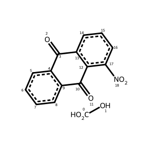 O=C(O)O.O=C1c2ccccc2C(=O)c2c1cccc2[N+](=O)[O-]